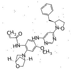 C=CC(=O)Nc1cc(Nc2cc(N3OCC[C@@H]3Cc3ccccc3)ncn2)c(OC)cc1N1C[C@H]2C[C@@H]1CO2